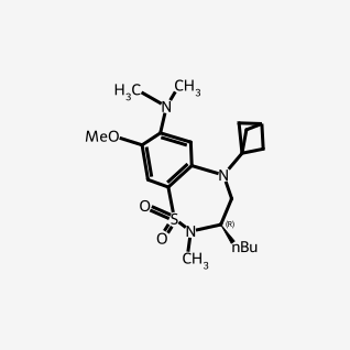 CCCC[C@@H]1CN(C23CC(C2)C3)c2cc(N(C)C)c(OC)cc2S(=O)(=O)N1C